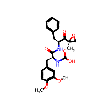 COc1ccc(C[C@H](NC(=O)O)C(=O)N[C@@H](Cc2ccccc2)C(=O)[C@]2(C)CO2)cc1OC